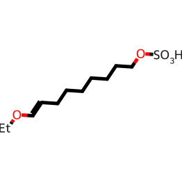 CCOC=CCCCCCCCOS(=O)(=O)O